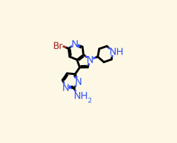 Nc1nccc(-c2cn(C3CCNCC3)c3cnc(Br)cc23)n1